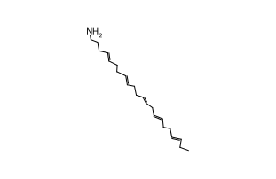 CCC=CCCC=CCC=CCCC=CCCC=CCCCN